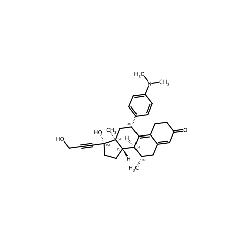 C[C@H]1CC2=CC(=O)CCC2=C2[C@@H]1[C@@H]1CC[C@@](O)(C#CCO)[C@@]1(C)C[C@@H]2c1ccc(N(C)C)cc1